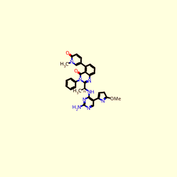 COC1=NC(c2cnc(N)nc2N[C@@H](C)c2nc3cccc(-c4ccc(=O)n(C)c4)c3c(=O)n2-c2ccccc2)=CC1